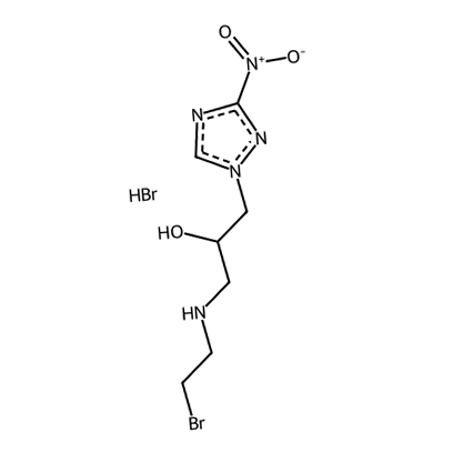 Br.O=[N+]([O-])c1ncn(CC(O)CNCCBr)n1